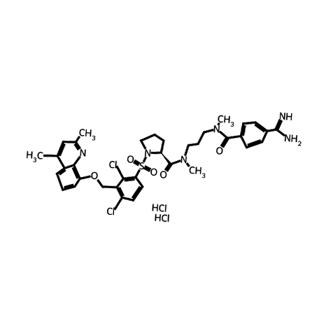 Cc1cc(C)c2cccc(OCc3c(Cl)ccc(S(=O)(=O)N4CCC[C@H]4C(=O)N(C)CCCN(C)C(=O)c4ccc(C(=N)N)cc4)c3Cl)c2n1.Cl.Cl